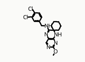 COc1ncc2c(n1)NC1(CCCCC1)C(NCc1ccc(Cl)c(Cl)c1)=N2